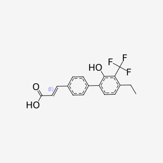 CCc1ccc(-c2ccc(/C=C/C(=O)O)cc2)c(O)c1C(F)(F)F